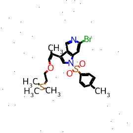 C/C(=C/OCCS(C)(C)C)c1cn(S(=O)(=O)c2ccc(C)cc2)c2cc(Br)ncc12